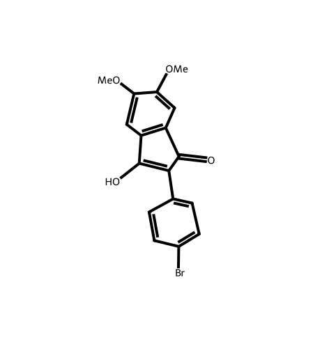 COc1cc2c(cc1OC)C(O)=C(c1ccc(Br)cc1)C2=O